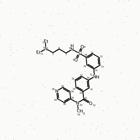 CCN(CC)CCCNS(=O)(=O)c1cccc(Nc2cccc(C(=O)N(C)c3ccncc3)c2)c1